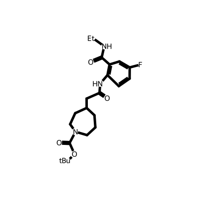 CCNC(=O)c1cc(F)ccc1NC(=O)CC1CCCN(C(=O)OC(C)(C)C)CC1